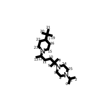 CC(C)N1CCN(C(C)(C)CCC(C)N2CCC(C(C)(C)C)CC2)CC1